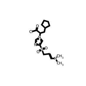 CN(C)C=CCS(=O)(=O)c1cn(C(CC2CCCC2)C(=O)Cl)cn1